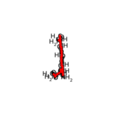 CC(=O)CN[C@@H](CCCCNC(=O)COCCOCCNC(=O)COCCOCCNC(=O)CCCC(=O)N[C@@H](CCCCN)C(=O)NCCCC[C@@H](NCC(C)=O)C(N)=O)C(N)=O